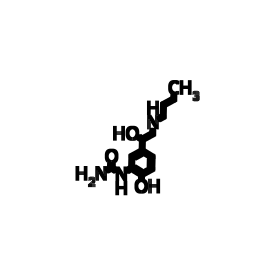 CCCCNCC(O)c1ccc(O)c(NC(N)=O)c1